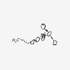 CCCCCCCCOc1ccc(-c2nnc(-c3cc(C#Cc4ccccc4)ccc3C#Cc3ccccc3)o2)cc1